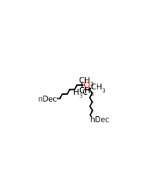 CCCCCCCCCCCCCCCCC(C)(C)OC(C)(C)CCCCCCCCCCCCCCCC